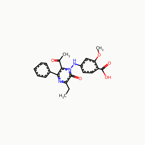 CCc1nc(-c2ccccc2)c(C(C)=O)n(Nc2ccc(C(=O)O)c(OC)c2)c1=O